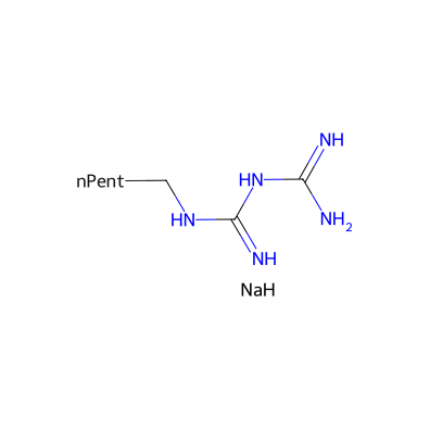 CCCCCCNC(=N)NC(=N)N.[NaH]